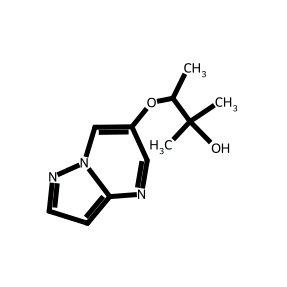 CC(Oc1cnc2ccnn2c1)C(C)(C)O